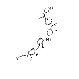 Cc1cc(Nc2nccn3c(-c4ccc(OCC#N)c(F)c4F)cnc23)ccc1C(=O)N1CCN(C(=O)[C@H]2CCNC2)CC1